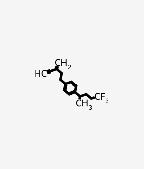 C#CC(=C)CCc1ccc(C(C)CCC(F)(F)F)cc1